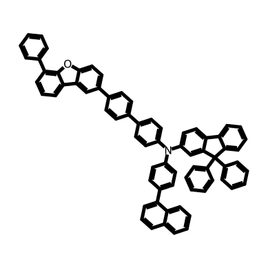 c1ccc(-c2cccc3c2oc2ccc(-c4ccc(-c5ccc(N(c6ccc(-c7cccc8ccccc78)cc6)c6ccc7c(c6)C(c6ccccc6)(c6ccccc6)c6ccccc6-7)cc5)cc4)cc23)cc1